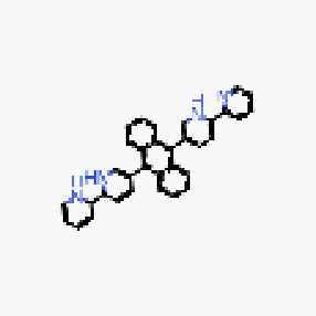 C1=CNC(C2C=CC(c3c4ccccc4c(C4=CC=C(c5ccccn5)NC4)c4ccccc34)=CN2)C=C1